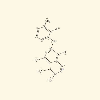 CCN(C)/C=N\c1cc(C)cc(Nc2cccc(C)c2F)c1Cl